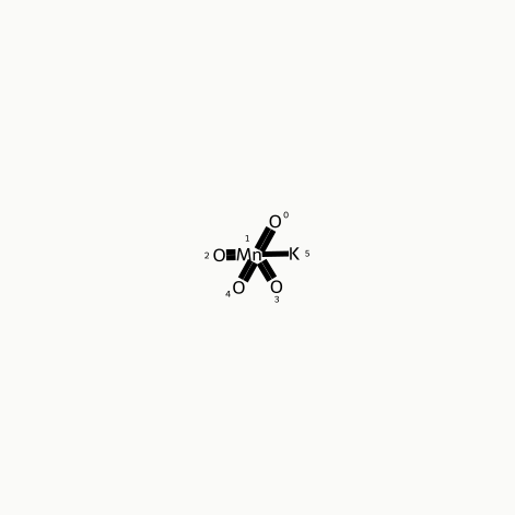 [O]=[Mn](=[O])(=[O])(=[O])[K]